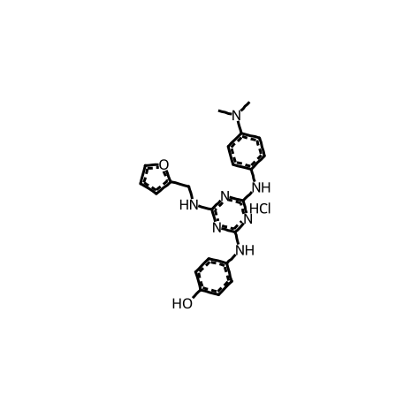 CN(C)c1ccc(Nc2nc(NCc3ccco3)nc(Nc3ccc(O)cc3)n2)cc1.Cl